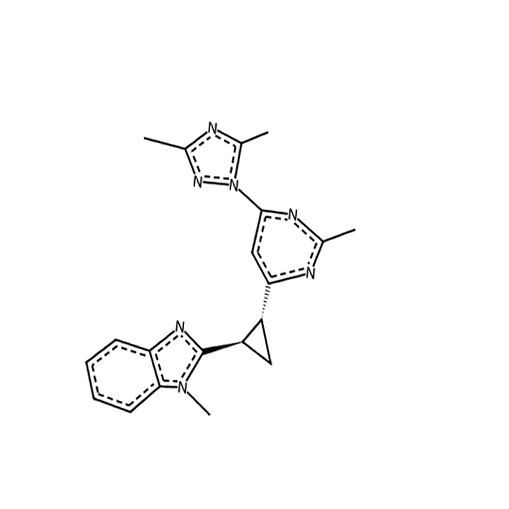 Cc1nc([C@@H]2C[C@H]2c2nc3ccccc3n2C)cc(-n2nc(C)nc2C)n1